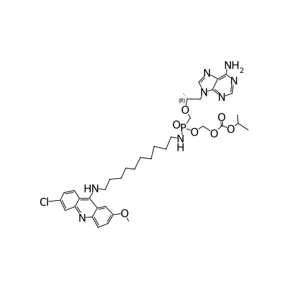 COc1ccc2nc3cc(Cl)ccc3c(NCCCCCCCCCCNP(=O)(CO[C@H](C)Cn3cnc4c(N)ncnc43)OCOC(=O)OC(C)C)c2c1